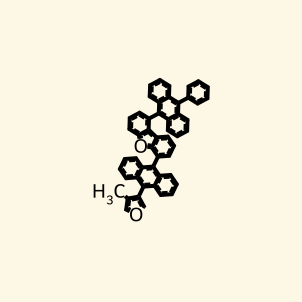 Cc1cocc1-c1c2ccccc2c(-c2cccc3c2oc2cccc(-c4c5ccccc5c(-c5ccccc5)c5ccccc45)c23)c2ccccc12